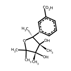 CC1(C)O[C@@](C)([n+]2cccc(C(=O)O)c2)[C@](C)(O)[C@]1(C)O